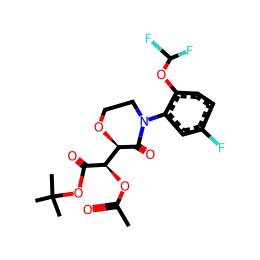 CC(=O)O[C@@H](C(=O)OC(C)(C)C)[C@H]1OCCN(c2cc(F)ccc2OC(F)F)C1=O